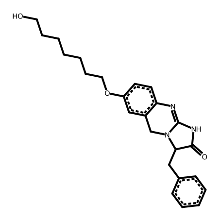 O=C1NC2=Nc3ccc(OCCCCCCCO)cc3CN2C1Cc1ccccc1